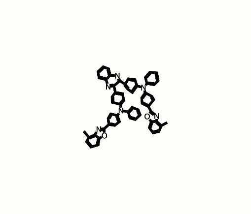 Cc1cccc2oc(-c3ccc(N(c4ccccc4)c4ccc(-c5nc6ccccc6nc5-c5ccc(N(c6ccccc6)c6ccc(-c7nc8c(C)cccc8o7)cc6)cc5)cc4)cc3)nc12